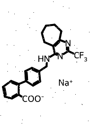 O=C([O-])c1ccccc1-c1ccc(CNc2nc(C(F)(F)F)nc3c2CCCCC3)cc1.[Na+]